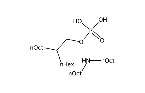 CCCCCCCCC(CCCCCC)COP(=O)(O)O.CCCCCCCCNCCCCCCCC